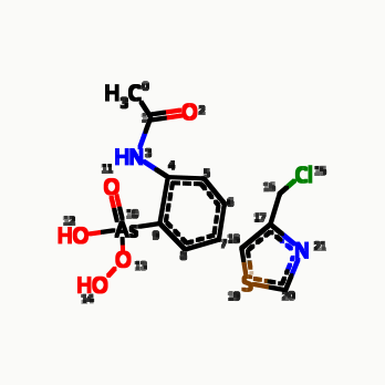 CC(=O)Nc1ccccc1[As](=O)(O)OO.ClCc1cscn1